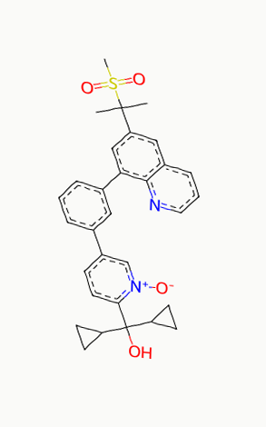 CC(C)(c1cc(-c2cccc(-c3ccc(C(O)(C4CC4)C4CC4)[n+]([O-])c3)c2)c2ncccc2c1)S(C)(=O)=O